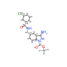 CC(C)(C)OC(=O)n1nc(N)c2cc(CNC(=O)c3cccc(Cl)c3)ccc21